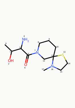 CC(O)C(N)C(=O)N1CCCC2(C1)SCCN2C